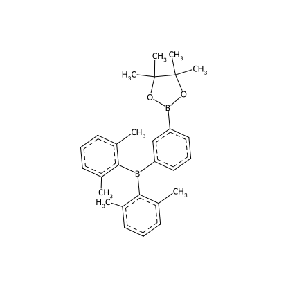 Cc1cccc(C)c1B(c1cccc(B2OC(C)(C)C(C)(C)O2)c1)c1c(C)cccc1C